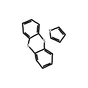 c1ccc2c(c1)Sc1ccccc1S2.c1ccsc1